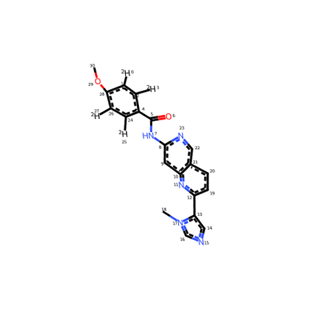 [2H]c1c([2H])c(C(=O)Nc2cc3nc(-c4cncn4C)ccc3cn2)c([2H])c([2H])c1OC